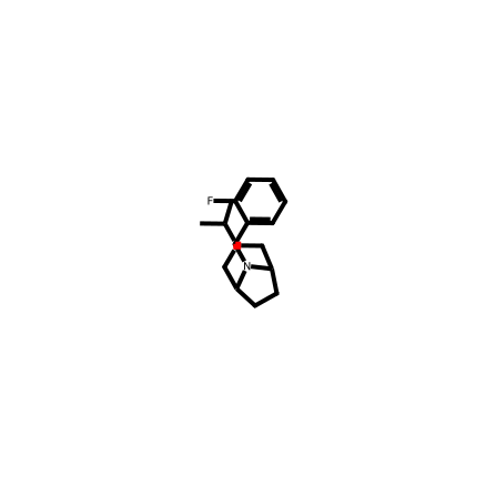 CC(C)N1CC2CCC(C1)N2Cc1ccccc1F